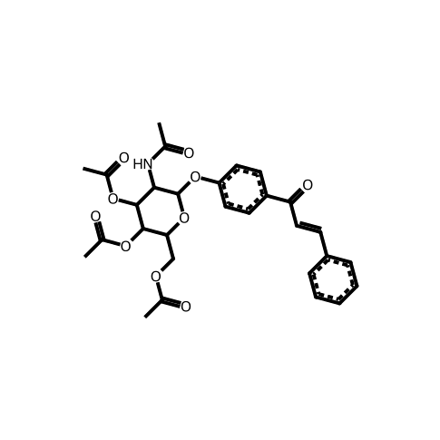 CC(=O)NC1C(Oc2ccc(C(=O)C=Cc3ccccc3)cc2)OC(COC(C)=O)C(OC(C)=O)C1OC(C)=O